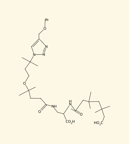 CC(C)OCc1cn(C(C)(C)CCOC(C)(C)CCC(=O)NCC(NC(=O)CC(C)(C)CC(C)(C)CC(=O)O)C(=O)O)nn1